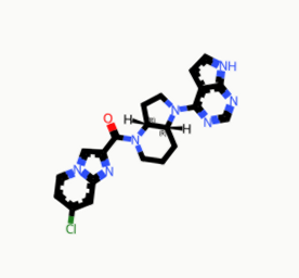 O=C(c1cn2ccc(Cl)cc2n1)N1CCC[C@@H]2[C@H]1CCN2c1ncnc2[nH]ccc12